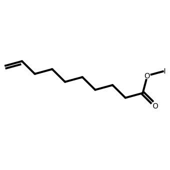 C=CCCCCCCCC(=O)OI